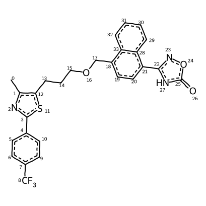 Cc1nc(-c2ccc(C(F)(F)F)cc2)sc1CCCOCc1ccc(-c2noc(=O)[nH]2)c2ccccc12